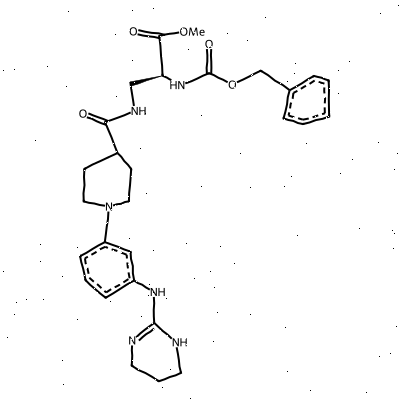 COC(=O)[C@H](CNC(=O)C1CCN(c2cccc(NC3=NCCCN3)c2)CC1)NC(=O)OCc1ccccc1